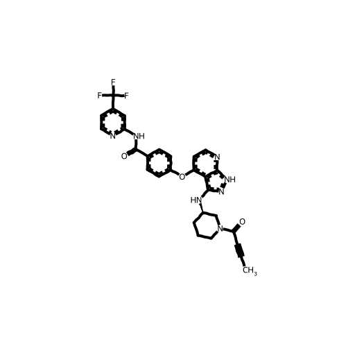 CC#CC(=O)N1CCC[C@@H](Nc2n[nH]c3nccc(Oc4ccc(C(=O)Nc5cc(C(F)(F)F)ccn5)cc4)c23)C1